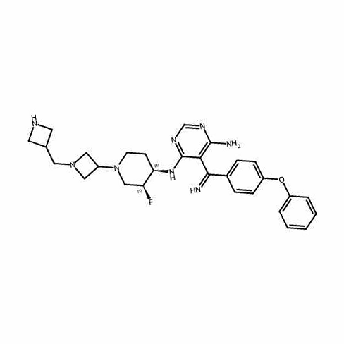 N=C(c1ccc(Oc2ccccc2)cc1)c1c(N)ncnc1N[C@@H]1CCN(C2CN(CC3CNC3)C2)C[C@@H]1F